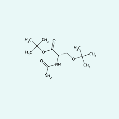 CC(C)(C)OC[C@H](NC(N)=O)C(=O)OC(C)(C)C